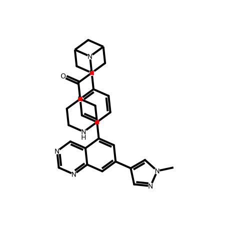 Cn1cc(-c2cc(-c3ccc(N4CC5CC(C4)N5CC(=O)C4CCNCC4)nc3)c3cncnc3c2)cn1